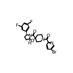 O=C(c1ccc(Br)cn1)N1CCC2(CC1)O[C@@H]1CC[C@@H](c3cc(F)cc(F)c3)N1C2=O